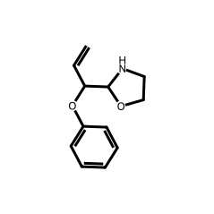 C=CC(Oc1ccccc1)C1NCCO1